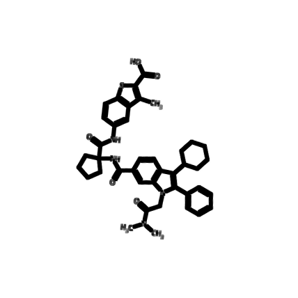 Cc1c(C(=O)O)sc2ccc(NC(=O)C3(NC(=O)c4ccc5c(C6CCCCC6)c(-c6ccccc6)n(CC(=O)N(C)C)c5c4)CCCC3)cc12